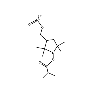 CC(C)C(=O)ON1C(C)(C)CC(CO[N+](=O)[O-])C1(C)C